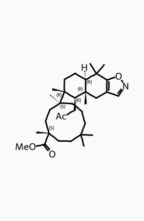 COC(=O)[C@@]1(C)CCC(C)(C)CCC[C@](C)([C@]2(C)CC[C@H]3C(C)(C)c4oncc4C[C@]3(C)[C@H]2CC(C)=O)CC1